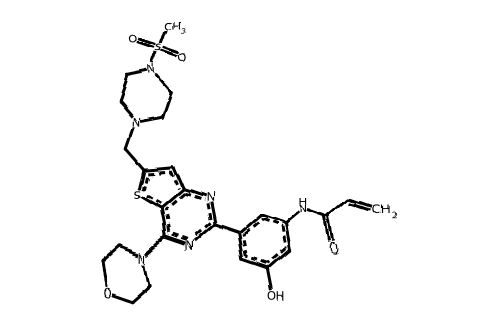 C=CC(=O)Nc1cc(O)cc(-c2nc(N3CCOCC3)c3sc(CN4CCN(S(C)(=O)=O)CC4)cc3n2)c1